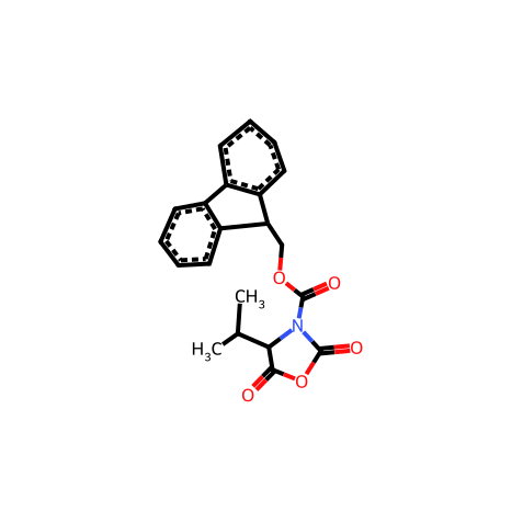 CC(C)C1C(=O)OC(=O)N1C(=O)OCC1c2ccccc2-c2ccccc21